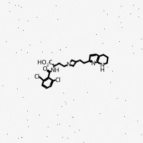 O=C(NC(CCN1CC(CCc2ccc3c(n2)NCCC3)C1)C(=O)O)c1c(Cl)cccc1Cl